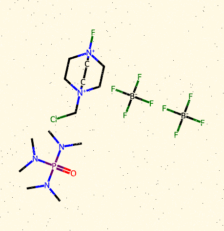 CN(C)P(=O)(N(C)C)N(C)C.F[B-](F)(F)F.F[B-](F)(F)F.F[N+]12CC[N+](CCl)(CC1)CC2